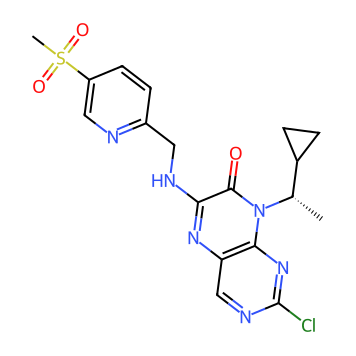 C[C@@H](C1CC1)n1c(=O)c(NCc2ccc(S(C)(=O)=O)cn2)nc2cnc(Cl)nc21